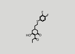 CCC(=O)C1=C(O)CC(CCSc2ccc(F)c(F)c2)CC1=O